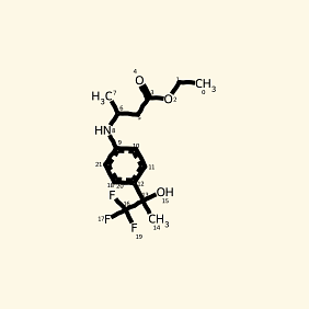 CCOC(=O)CC(C)Nc1ccc(C(C)(O)C(F)(F)F)cc1